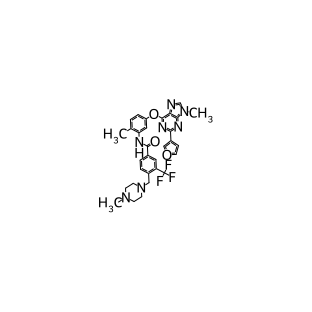 Cc1ccc(Oc2nc(-c3ccoc3)nc3c2ncn3C)cc1NC(=O)c1ccc(CN2CCN(C)CC2)c(C(F)(F)F)c1